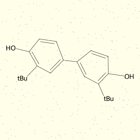 CC(C)(C)c1cc(-c2ccc(O)c(C(C)(C)C)c2)ccc1O